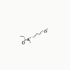 CCC(=O)N(C)CCCCCOC